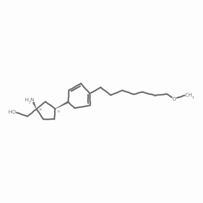 COCCCCCCCC1=CCC([C@H]2CC[C@](N)(CO)C2)C=C1